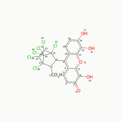 O=C(O)C1C(c2c3ccc(=O)c(O)c-3oc3c(O)c(O)ccc23)C2(Cl)C(Cl)=C(Cl)C1(Cl)C2(Cl)Cl